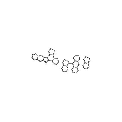 c1ccc2cc3c(cc2c1)sc1c2ccc(-c4ccc(-c5c6ccccc6c(-c6cccc7ccccc67)c6ccccc56)c5ccccc45)cc2c2ccccc2c31